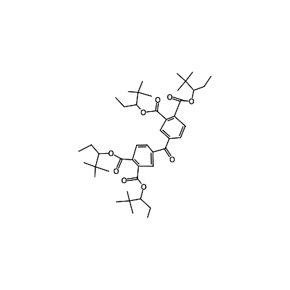 CCC(OC(=O)c1ccc(C(=O)c2ccc(C(=O)OC(CC)C(C)(C)C)c(C(=O)OC(CC)C(C)(C)C)c2)cc1C(=O)OC(CC)C(C)(C)C)C(C)(C)C